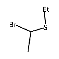 CCSC(C)Br